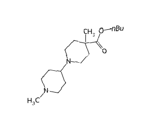 CCCCOC(=O)C1(C)CCN(C2CCN(C)CC2)CC1